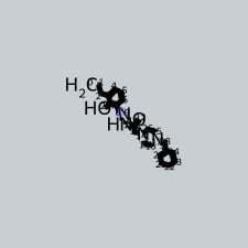 C=CCc1cccc(/C=N/NC(=O)CN2CCN(CC3=CCCC=C3)CC2)c1O